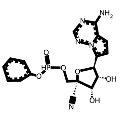 N#C[C@]1(CO[PH](=O)Oc2ccccc2)O[C@@H](c2ccc3c(N)ncnn23)[C@H](O)[C@@H]1O